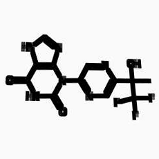 CC(O)(c1cnc(-n2c(=O)[nH]c(=O)c3[nH]cnc32)cn1)C(F)(F)F